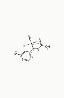 O=C(O)C=C(c1cccc(Br)c1)C(F)(F)F